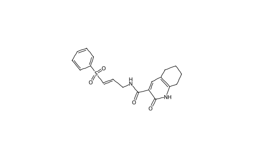 O=C(NC/C=C/S(=O)(=O)c1ccccc1)c1cc2c([nH]c1=O)CCCC2